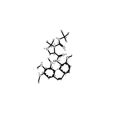 COc1ccc(/C=C\c2cc(OC)c(OC)c(OC)c2)cc1NC(=O)C1COC(C)(C)N1C(=O)OC(C)(C)C